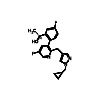 C[C@@H](O)c1cc(F)ccc1-c1cc(F)cnc1Cc1cnn(CC2CC2)c1